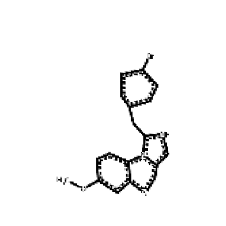 COc1ccc2c(c1)ncc1c[nH]c(Cc3ccc(Br)cc3)[n+]12